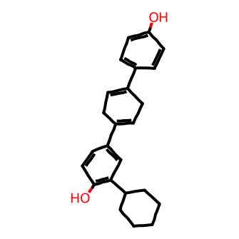 Oc1ccc(C2=CCC(c3ccc(O)c(C4CCCCC4)c3)=CC2)cc1